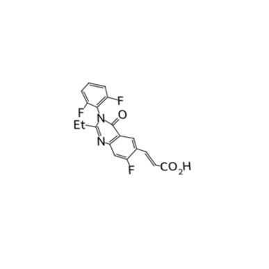 CCc1nc2cc(F)c(/C=C/C(=O)O)cc2c(=O)n1-c1c(F)cccc1F